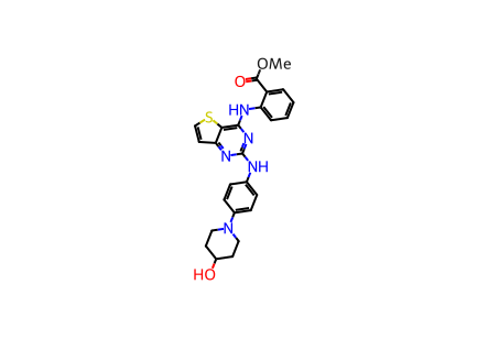 COC(=O)c1ccccc1Nc1nc(Nc2ccc(N3CCC(O)CC3)cc2)nc2ccsc12